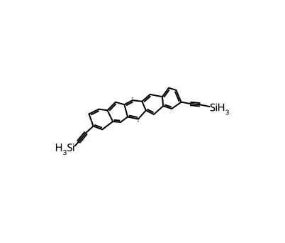 [SiH3]C#Cc1ccc2cc3[c]c4cc5ccc(C#C[SiH3])cc5cc4[c]c3cc2c1